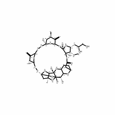 C=C1C[C@@H]2CC[C@@]34C[C@]5(C)O[C@H]6[C@@H](O3)C3OC(CCC3O[C@H]6C5O4)CC(=O)C[C@@H]3[C@@H](OC)[C@@H](C[C@H](O)CO)O[C@H]3CC3O[C@@H](CCC1O2)C[C@@H](C)C3=C